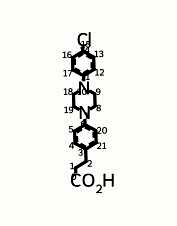 O=C(O)CCc1ccc(N2CCN(c3ccc(Cl)cc3)CC2)cc1